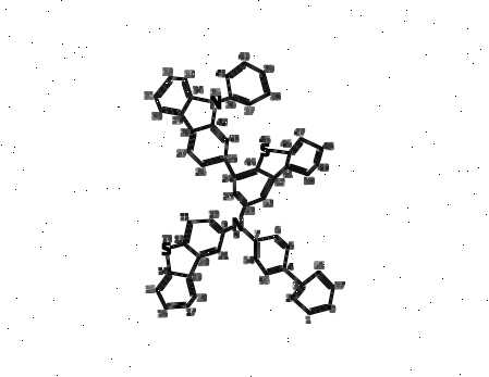 c1ccc(-c2ccc(N(c3ccc4sc5ccccc5c4c3)c3cc(-c4ccc5c6ccccc6n(-c6ccccc6)c5c4)c4sc5ccccc5c4c3)cc2)cc1